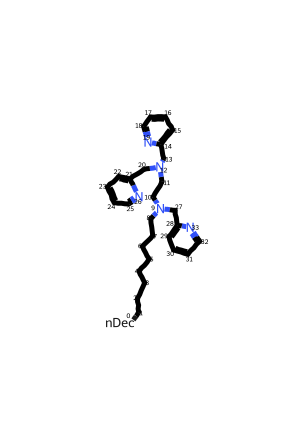 CCCCCCCCCCCCCCCCCCN(CCN(Cc1ccccn1)Cc1ccccn1)Cc1ccccn1